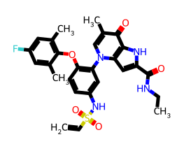 C=CS(=O)(=O)Nc1ccc(Oc2c(C)cc(F)cc2C)c(-n2cc(C)c(=O)c3[nH]c(C(=O)NCC)cc32)c1